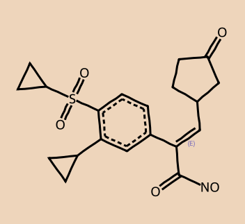 O=NC(=O)/C(=C/C1CCC(=O)C1)c1ccc(S(=O)(=O)C2CC2)c(C2CC2)c1